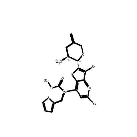 C=C1CO[C@H](c2sc3c(N(Cc4cccs4)C(=O)OC(C)(C)C)cc(Cl)nc3c2Br)[C@@H]([N+](=O)[O-])C1